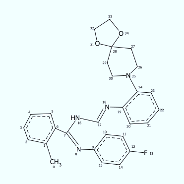 Cc1ccccc1C(=Nc1ccc(F)cc1)NC=Nc1ccccc1N1CCC2(CC1)OCCO2